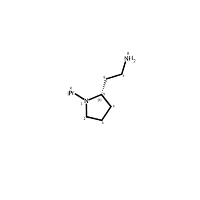 CC(C)N1CCC[C@H]1CCN